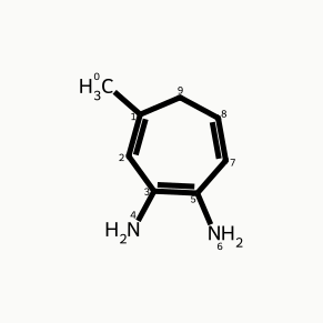 CC1=CC(N)=C(N)C=CC1